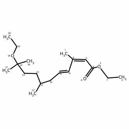 CCOC(=O)C=C(C)C=CCC(C)CCC(C)(C)OCC